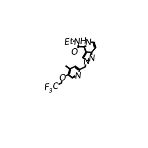 CCNC(=O)c1nccc2nn(Cc3cc(C)c(OCC(F)(F)F)cn3)cc12